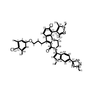 Cc1cc(OCCCc2c3n(c4c(-c5c(C)nn(C)c5C)c(Cl)ccc24)[C@H](C)CN(c2cn(C)c4cc(-c5nnn(C)n5)ccc24)C3=O)cc(C)c1Cl